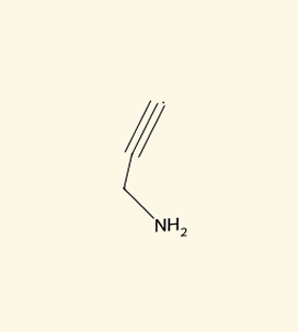 [C]#CCN